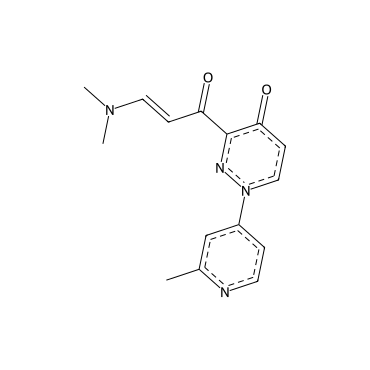 Cc1cc(-n2ccc(=O)c(C(=O)C=CN(C)C)n2)ccn1